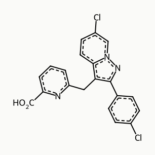 O=C(O)c1cccc(Cc2c(-c3ccc(Cl)cc3)nn3cc(Cl)ccc23)n1